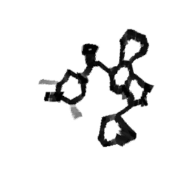 C[C@@H]1CN(C(=O)c2cn3c(-c4ccccc4)nnc3c3ccccc23)C[C@H](C)N1